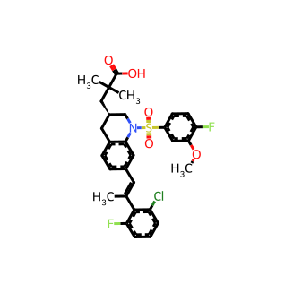 COc1cc(S(=O)(=O)N2C[C@H](CC(C)(C)C(=O)O)Cc3ccc(/C=C(\C)c4c(F)cccc4Cl)cc32)ccc1F